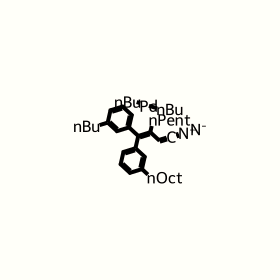 CCCCCCCCc1cccc(C(=C(C=C=[N+]=[N-])CCCCC)c2cccc(CCCC)c2)c1.CCC[CH2][Pd][CH2]CCC